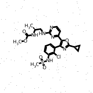 COC(=O)N[C@@H](C)CNc1nccc(-c2oc(C3CC3)nc2-c2cccc(NS(C)(=O)=O)c2Cl)n1